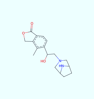 Cc1c(C(O)CN2CC3CCC(C2)N3)ccc2c1COC2=O